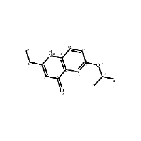 CCc1cc(=O)c2nc(OC(C)C)ccc2[nH]1